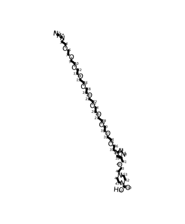 [N-]=[N+]=NCCOCCOCCOCCOCCOCCOCCOCCOCCOCCOCCOCCn1cc(COCCN2CCN(C(=O)O)CC2)nn1